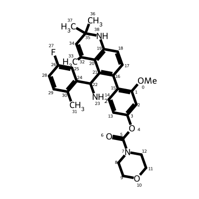 COc1cc(OC(=O)N2CCOCC2)ccc1-c1ccc2c(c1C(N)c1cc(F)ccc1C)C(C)=CC(C)(C)N2